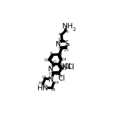 Cl.Cl.NCCc1nc(-c2ccc3nc(N4CCNCC4)c(Cl)cc3c2)cs1